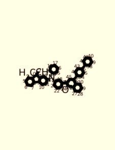 CC1(C)c2ccccc2-c2ccc(N(c3ccccc3)c3ccc4oc5c6ccccc6c(-c6ccc(-c7ccccc7)cc6)cc5c4c3)cc21